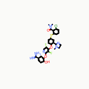 CN(C)C(=O)c1c(Cl)cccc1Sc1ccc(Oc2c(F)cnc(Oc3cc(C(=N)N)ccc3O)c2F)c(C2N=CCN2C)c1